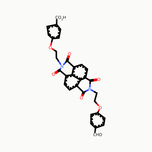 O=Cc1ccc(OCCN2C(=O)c3ccc4c5c(ccc(c35)C2=O)C(=O)N(CCOc2ccc(C(=O)O)cc2)C4=O)cc1